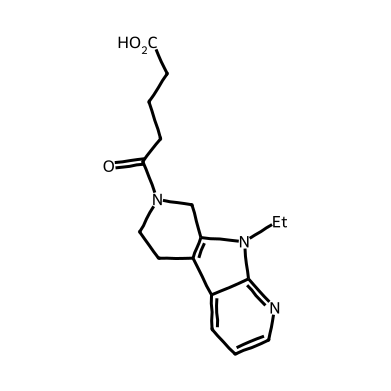 CCn1c2c(c3cccnc31)CCN(C(=O)CCCC(=O)O)C2